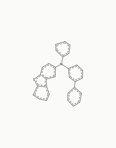 c1ccc(-c2cccc(N(c3ccccc3)c3ccc4sc5ccccc5c4c3)c2)cc1